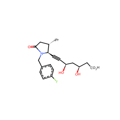 CC(C)[C@H]1CC(=O)N(Cc2ccc(F)cc2)[C@@H]1C#C[C@H](O)C[C@H](O)CC(=O)O